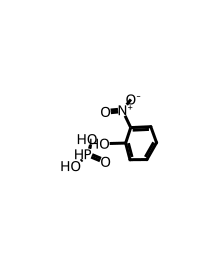 O=[N+]([O-])c1ccccc1O.O=[PH](O)O